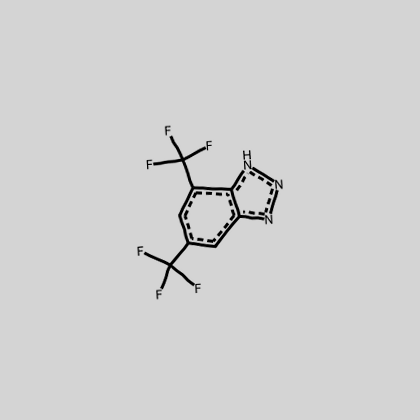 FC(F)(F)c1cc(C(F)(F)F)c2[nH]nnc2c1